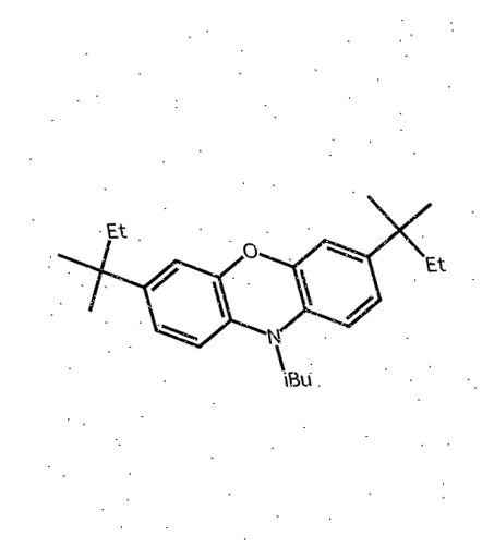 CCC(C)N1c2ccc(C(C)(C)CC)cc2Oc2cc(C(C)(C)CC)ccc21